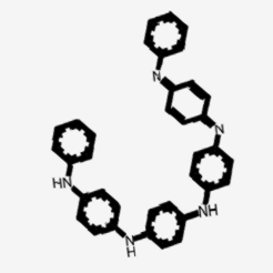 C1=CC(=Nc2ccc(Nc3ccc(Nc4ccc(Nc5ccccc5)cc4)cc3)cc2)C=CC1=Nc1ccccc1